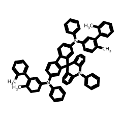 CC1=C(c2ccccc2C)C=C(N(c2ccccc2)c2ccc3c(c2)C2(c4cc(N(c5ccccc5)c5ccc(C)c(-c6ccccc6C)c5)ccc4-3)c3ccccc3N(c3ccccc3)c3ccccc32)CC1